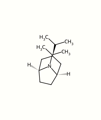 CC(C)[C@H]1C[C@H]2CC[C@@H](C1)N2C(C)C